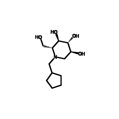 OC[C@@H]1[C@@H](O)[C@H](O)[C@@H](O)CN1CC1CCCC1